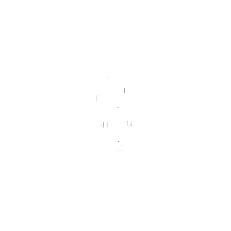 CCO.F[B-](F)(F)F.c1c[nH]cn1